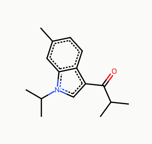 Cc1ccc2c(C(=O)C(C)C)cn(C(C)C)c2c1